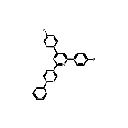 Fc1ccc(-c2cc(-c3ccc(Br)cc3)nc(-c3ccc(-c4ccccc4)cc3)n2)cc1